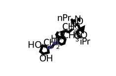 C=C1/C(=C\C=C2/CCC[C@]3(C)[C@@H]([C@H](C)CC[C@@H](OC(=O)C(C)C)C4(c5nc(CCC)no5)CC4)CC[C@@H]23)C[C@@H](O)C[C@@H]1O